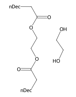 CCCCCCCCCCCC(=O)OCCOC(=O)CCCCCCCCCCC.OCCO